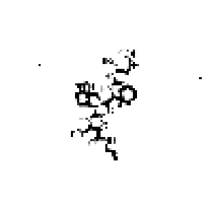 C=CCNC(=O)C(=O)C(CCC)NC(=O)[C@@H]1C2CCC3(CC3)[C@H]2CN1C(=O)[C@@H](NC(=O)N[C@H](CN(C)[S+](C)[O-])C(C)(C)C)C1(C)CCCCC1